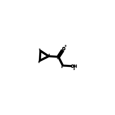 O=C(CO)C1CC1